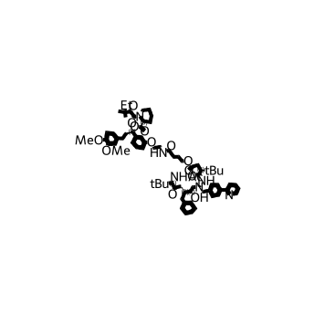 CCC(C)(C)C(=O)C(=O)N1CCCC[C@H]1C(=O)O[C@H](CCc1ccc(OC)c(OC)c1)c1cccc(OCCNC(=O)CCCOC(=O)C[C@H](C(=O)NN(Cc2ccc(-c3ccccn3)cc2)C[C@H](O)[C@@H](CC(=O)[C@@H](NC(C)=O)C(C)(C)C)Cc2ccccc2)C(C)(C)C)c1